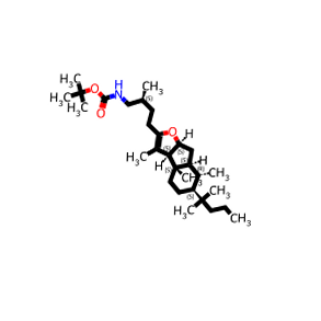 CCCC(C)(C)[C@H]1CC[C@@]2(C)[C@@H](C[C@@H]3OC(CC[C@H](C)CNC(=O)OC(C)(C)C)=C(C)[C@@H]32)[C@@H]1C